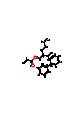 C=CC(=O)OCC(CC)CCCC.c1ccc(-c2ccccc2)cc1